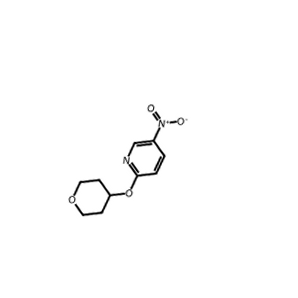 O=[N+]([O-])c1ccc(OC2CCOCC2)nc1